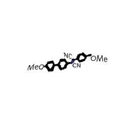 COCc1ccc(/C(C#N)=C(\C#N)c2ccc(-c3ccc(OC)cc3)cc2)cc1